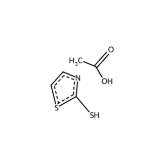 CC(=O)O.Sc1nccs1